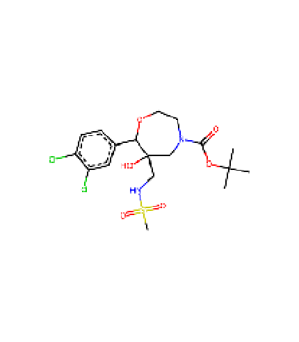 CC(C)(C)OC(=O)N1CCOC(c2ccc(Cl)c(Cl)c2)C(O)(CNS(C)(=O)=O)C1